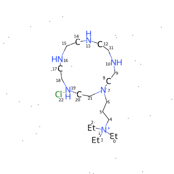 CC[N+](CC)(CC)CCCN1CCNCCNCCNCCNCC1.[Cl-]